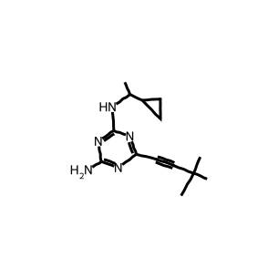 CC(Nc1nc(N)nc(C#CC(C)(C)C)n1)C1CC1